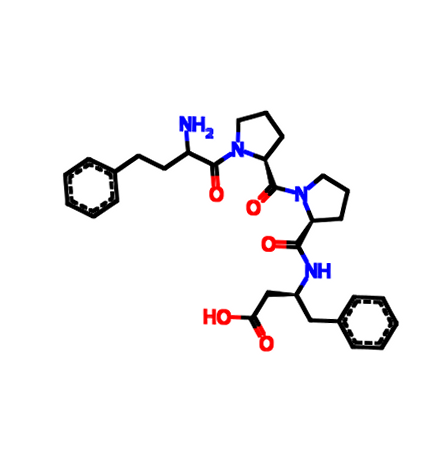 NC(CCc1ccccc1)C(=O)N1CCC[C@H]1C(=O)N1CCC[C@H]1C(=O)N[C@H](CC(=O)O)Cc1ccccc1